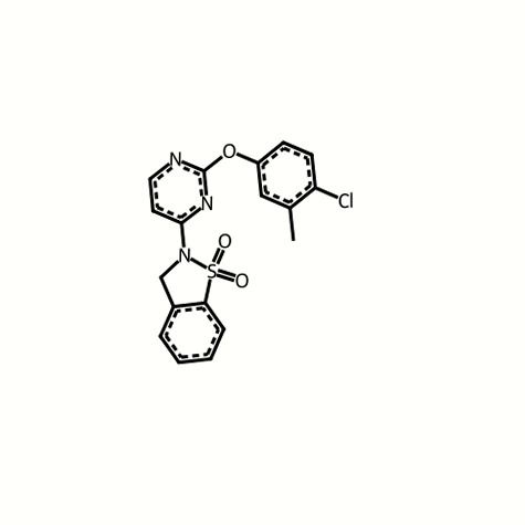 Cc1cc(Oc2nccc(N3Cc4ccccc4S3(=O)=O)n2)ccc1Cl